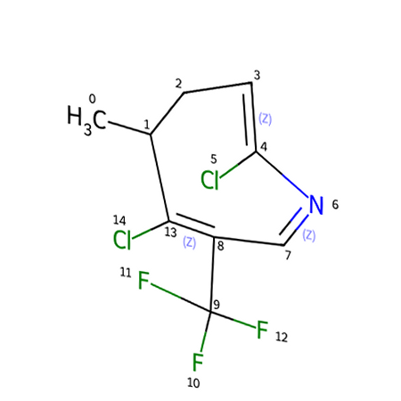 CC1C/C=C(Cl)/N=C\C(C(F)(F)F)=C/1Cl